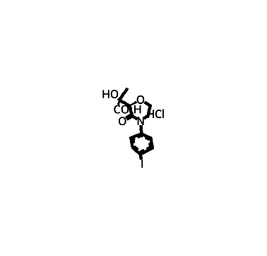 C[C@](O)(C(=O)O)[C@H]1OCCN(c2ccc(I)cc2)C1=O.Cl